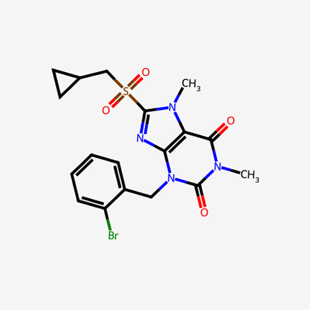 Cn1c(=O)c2c(nc(S(=O)(=O)CC3CC3)n2C)n(Cc2ccccc2Br)c1=O